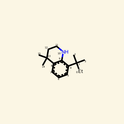 CCC(C)(C)c1cccc2c1NCCC2(C)C